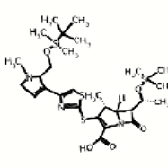 C[C@@H](O[Si](C)(C)C)[C@H]1C(=O)N2C(C(=O)O)=C(Sc3nc(C4=CCN(C)[C@H]4CO[Si](C)(C)C(C)(C)C)cs3)[C@H](C)[C@H]12